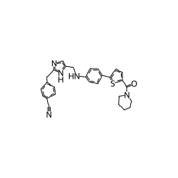 N#Cc1ccc(Cc2ncc(CNc3ccc(-c4ccc(C(=O)N5CCCCC5)s4)cc3)[nH]2)cc1